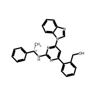 C[C@H](Nc1nc(-c2ccccc2CO)cc(-n2cnc3ccccc32)n1)c1ccccc1